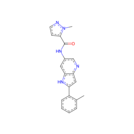 Cc1ccccc1-c1cc2ncc(NC(=O)c3ccnn3C)cc2[nH]1